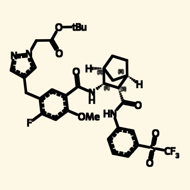 COc1cc(F)c(Cc2cnn(CC(=O)OC(C)(C)C)c2)cc1C(=O)N[C@@H]1[C@H]2CC[C@H](C2)[C@@H]1C(=O)Nc1cccc(S(=O)(=O)C(F)(F)F)c1